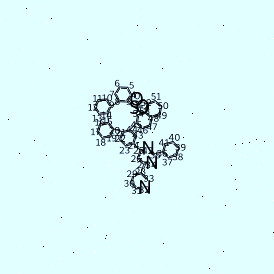 O=S1(=O)c2ccccc2-c2ccccc2-c2ccccc2-c2ccc(-c3cc(-c4cccnc4)nc(-c4ccccc4)n3)cc2-c2ccc3ccccc3c21